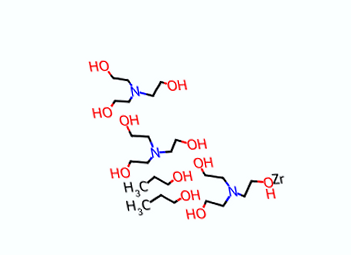 CCCO.CCCO.OCCN(CCO)CCO.OCCN(CCO)CCO.OCCN(CCO)CCO.[Zr]